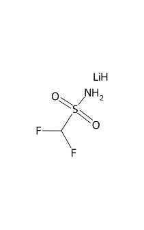 NS(=O)(=O)C(F)F.[LiH]